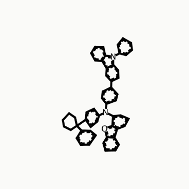 c1ccc(-n2c3ccccc3c3cc(-c4ccc(N(c5ccc(C6(c7ccccc7)CCCCC6)cc5)c5cccc6c5oc5ccccc56)cc4)ccc32)cc1